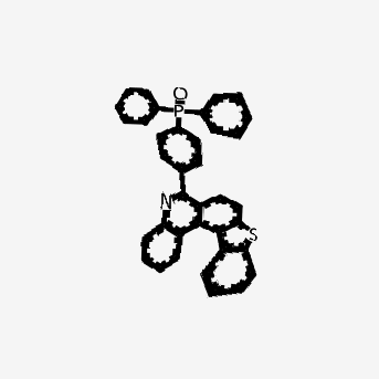 O=P(c1ccccc1)(c1ccccc1)c1ccc(-c2nc3ccccc3c3c2ccc2sc4ccccc4c23)cc1